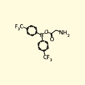 NCC(=O)OB(c1ccc(C(F)(F)F)cc1)c1ccc(C(F)(F)F)cc1